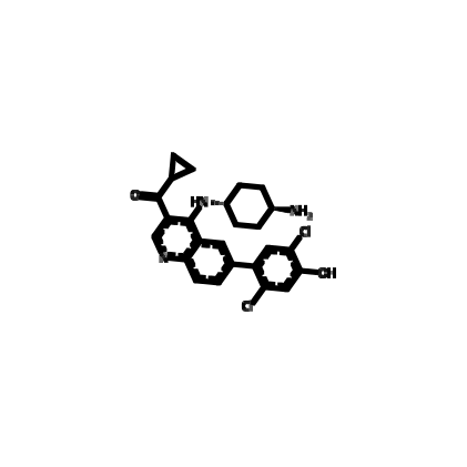 N[C@H]1CC[C@H](Nc2c(C(=O)C3CC3)cnc3ccc(-c4cc(Cl)c(O)cc4Cl)cc23)CC1